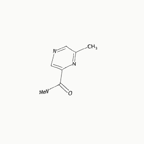 CNC(=O)c1cncc(C)n1